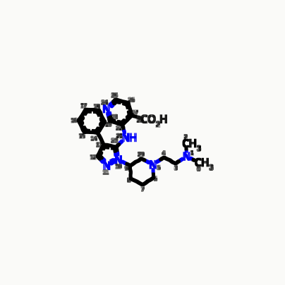 CN(C)CCN1CCCC(n2ncc(-c3ccccc3)c2Nc2cnccc2C(=O)O)C1